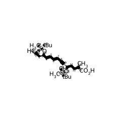 C#CC[C@H](C=CC=CC#C[C@H](CCC(C)C(=O)O)O[Si](C)(C)C(C)(C)C)O[Si](C)(C)C(C)(C)C